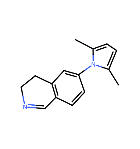 Cc1ccc(C)n1-c1ccc2c(c1)CCN=C2